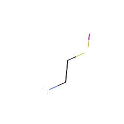 NCCSI